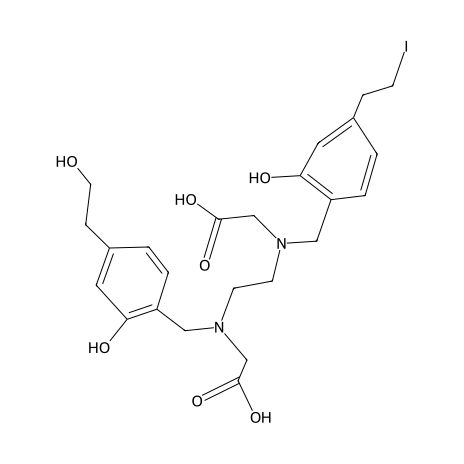 O=C(O)CN(CCN(CC(=O)O)Cc1ccc(CCI)cc1O)Cc1ccc(CCO)cc1O